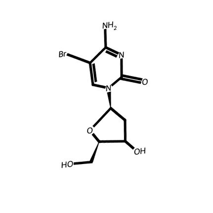 Nc1nc(=O)n([C@H]2CC(O)[C@@H](CO)O2)cc1Br